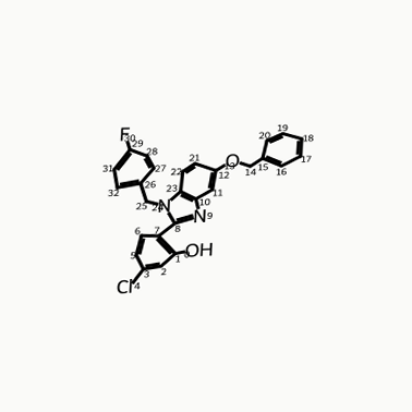 Oc1cc(Cl)ccc1-c1nc2cc(OCc3ccccc3)ccc2n1Cc1ccc(F)cc1